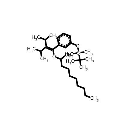 CCCCCCCCC(C)OC(=C(C(C)C)C(C)C)c1cccc(O[Si](C)(C)C(C)(C)C)c1